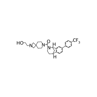 O=C(N1CCC2(CC1)CN(CCO)C2)N1CC[C@@H]2C[C@H]1c1cc(-c3ccc(C(F)(F)F)cc3)ccc12